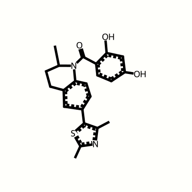 Cc1nc(C)c(-c2ccc3c(c2)CCC(C)N3C(=O)c2ccc(O)cc2O)s1